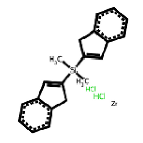 C[Si](C)(C1=Cc2ccccc2C1)C1=Cc2ccccc2C1.Cl.Cl.[Zr]